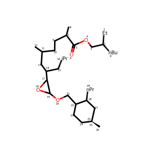 CCCCC(CC)COC(=O)C(C)CCC(C)CC(CC(C)C)C1OC1OCC1CC[C@H](C)CC1CCC